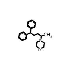 CC(CCC(c1ccccc1)c1ccccc1)N1CC[N]CC1